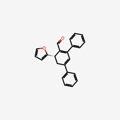 O=CC1=C(c2ccccc2)C=C(c2ccccc2)C[C@@H]1c1ccco1